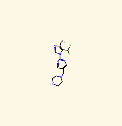 Cc1ncn(-c2ncc(CN3CCNCC3)cn2)c1C(F)F